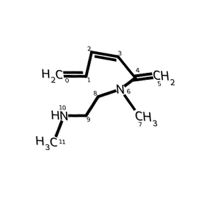 C=C/C=C\C(=C)N(C)CCNC